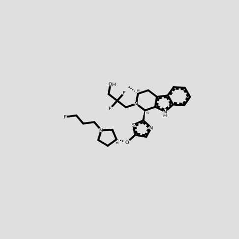 C[C@@H]1Cc2c([nH]c3ccccc23)[C@@H](c2ncc(O[C@@H]3CCN(CCCF)C3)s2)N1CC(F)(F)CO